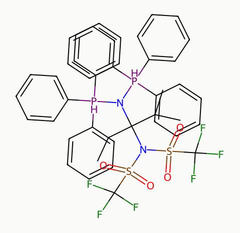 CCC(C(C)C)(N([PH](c1ccccc1)(c1ccccc1)c1ccccc1)[PH](c1ccccc1)(c1ccccc1)c1ccccc1)N(S(=O)(=O)C(F)(F)F)S(=O)(=O)C(F)(F)F